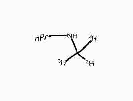 [2H]C([2H])([2H])NCCC